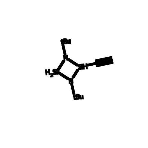 C#C[SiH]1N(C(C)(C)C)[SiH2]N1C(C)(C)C